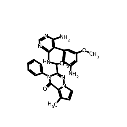 COc1cc(N)cc(-c2c(N)ncnc2NC(C)c2nn3ccc(C)c3c(=O)n2-c2ccccc2)c1